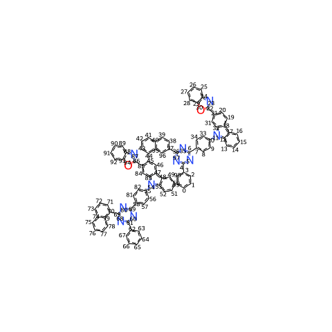 c1ccc(-c2nc(-c3ccc(-n4c5ccccc5c5ccc(-c6nc7ccccc7o6)cc54)cc3)nc(-c3ccc4cccc(-c5cc6c7ccccc7n(-c7ccc(-c8nc(-c9ccccc9)nc(-c9cccc%10ccccc9%10)n8)cc7)c6cc5-c5nc6ccccc6o5)c4c3)n2)cc1